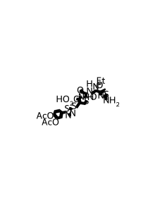 CCON=C(C(=O)N[C@@H]1C(=O)N2C(C(=O)O)=C(CSc3nnc(-c4ccc(OC(C)=O)c(OC(C)=O)c4)s3)CS[C@@H]12)c1csc(N)n1